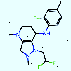 Cc1ccc(NC2CCN(C)C3=C2N(CC(F)F)N(C)C3)c(F)c1